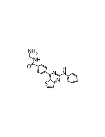 NCNC(=O)c1ccc(-c2nc(Nc3ccccc3)nc3ccsc23)cc1